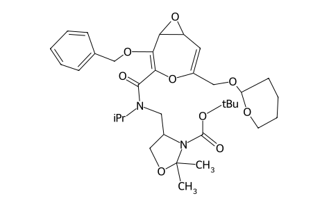 CC(C)N(CC1COC(C)(C)N1C(=O)OC(C)(C)C)C(=O)C1=C(OCc2ccccc2)C2OC2C=C(COC2CCCCO2)O1